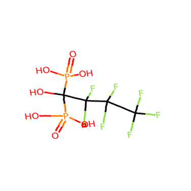 O=P(O)(O)C(O)(C(F)(F)C(F)(F)C(F)(F)F)P(=O)(O)O